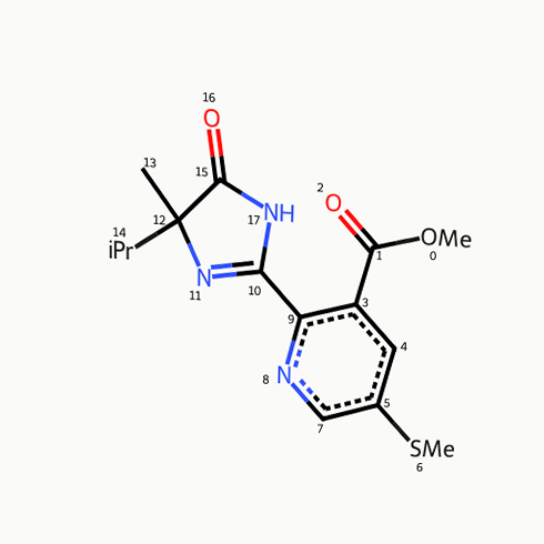 COC(=O)c1cc(SC)cnc1C1=NC(C)(C(C)C)C(=O)N1